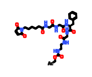 CC(=O)COC(=O)NCCNC(=O)CNC(=O)[C@H](Cc1ccccc1)NC(=O)CNC(=O)CNC(=O)CCCCCN1C(=O)C=CC1=O